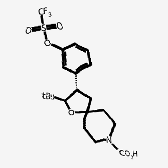 CC(C)(C)C1OC2(CCN(C(=O)O)CC2)C[C@H]1c1cccc(OS(=O)(=O)C(F)(F)F)c1